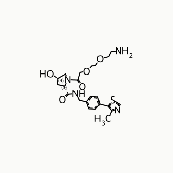 Cc1ncsc1-c1ccc(CNC(=O)[C@@H]2C[C@@H](O)CN2C(=O)COCCOCCN)cc1